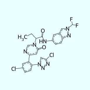 CCC(C(=O)Nc1ccc2nn(C(F)F)cc2c1)n1cnc(-c2cc(Cl)ccc2-n2cc(Cl)nn2)cc1=O